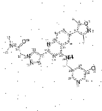 Cc1noc(C)c1-c1ccc2nc(-c3cnn(CC(=O)N(C)C)c3)nc(NCc3cncc(Cl)c3)c2c1